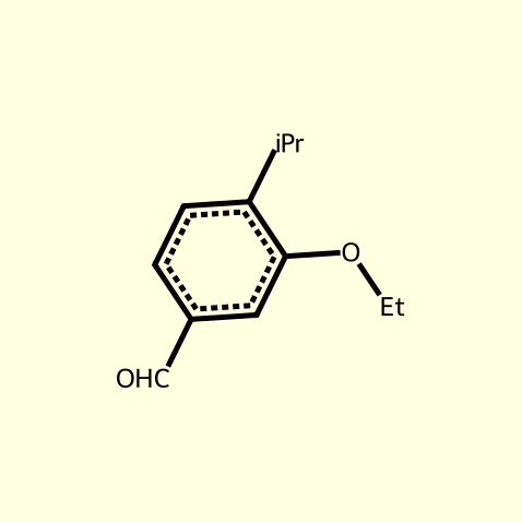 CCOc1cc(C=O)ccc1C(C)C